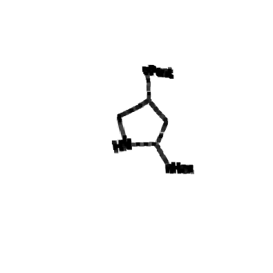 [CH2]CCCCC1CNC(CCCCCC)C1